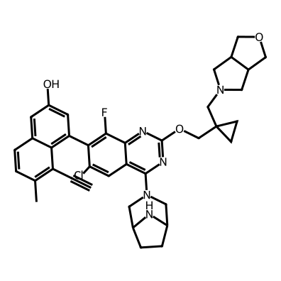 C#Cc1c(C)ccc2cc(O)cc(-c3c(Cl)cc4c(N5CC6CCC(C5)N6)nc(OCC5(CN6CC7COCC7C6)CC5)nc4c3F)c12